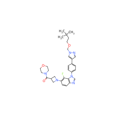 C[Si](C)(C)CCOCn1cc(-c2ccc(-n3cnc4ccc(N5CC(C(=O)N6CCOCC6)C5)c(F)c43)cc2)cn1